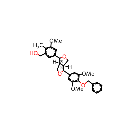 COc1cc(C2OC[C@@H]3C(c4cc(OC)c(OCc5ccccc5)c(OC)c4)OC[C@H]23)cc(CO)c1C